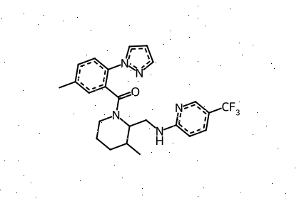 Cc1ccc(-n2cccn2)c(C(=O)N2CCCC(C)C2CNc2ccc(C(F)(F)F)cn2)c1